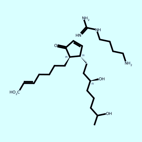 CC(O)CCC[C@H](O)CC[C@H]1C=CC(=O)[C@@H]1CCCCC=CC(=O)O.N=C(N)NCCCCN